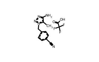 Cc1c(N)nnn1Cc1ccc(C#N)cc1.O=C(O)C(F)(F)F